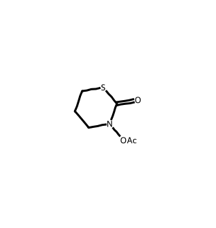 CC(=O)ON1CCCSC1=O